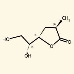 C[C@@H]1C[C@@H]([C@H](O)CO)OC1=O